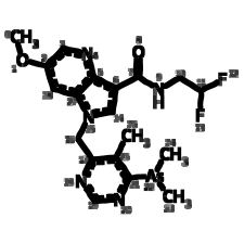 COc1cnc2c(C(=O)NCC(F)F)cn(Cc3ncnc([As](C)C)c3C)c2c1